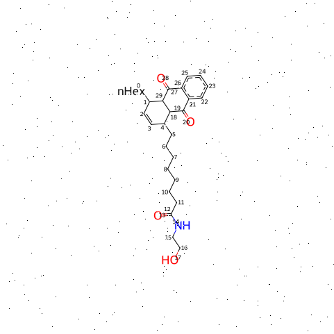 CCCCCCC1C=CC(CCCCCCCC(=O)NCCO)C2C(=O)c3ccccc3C(=O)C12